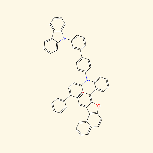 c1ccc(-c2ccc(N(c3ccc(-c4cccc(-n5c6ccccc6c6ccccc65)c4)cc3)c3ccccc3-c3cccc4c3oc3ccc5ccccc5c34)cc2)cc1